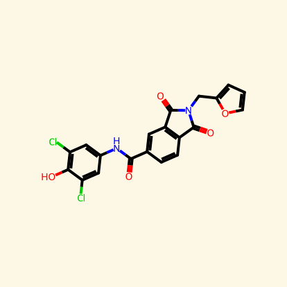 O=C(Nc1cc(Cl)c(O)c(Cl)c1)c1ccc2c(c1)C(=O)N(Cc1ccco1)C2=O